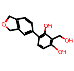 OCc1c(O)ccc(-c2ccc3c(c2)COC3)c1O